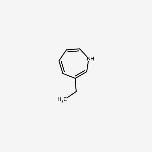 CCC1=CNC=CC=C1